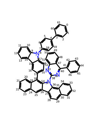 c1ccc(-c2ccc(-n3c4ccccc4c4cc(-c5c6ccccc6cc6c7ccc8ccccc8c7n(-c7nc(-c8ccccc8)c8ccccc8n7)c56)ccc43)cc2)cc1